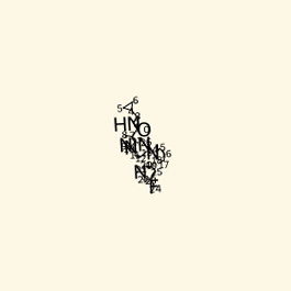 O=C(NCC1CC1)c1cnn2ccc(N3CCC[C@@H]3c3cncc(F)c3)nc12